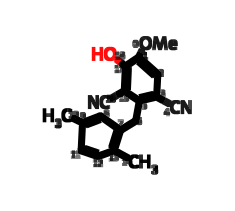 COc1cc(C#N)c(Cc2cc(C)ccc2C)c(C#N)c1O